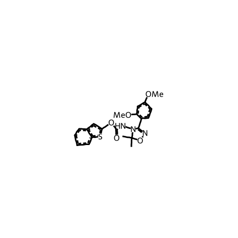 COc1ccc(C2=NOC(C)(C)N2NC(=O)Oc2cc3ccccc3s2)c(OC)c1